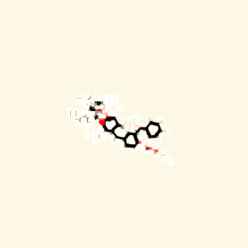 COCOc1ccc(Cc2c(C)cc(O[Si](C(C)C)(C(C)C)C(C)C)cc2C)cc1C(O)c1ccccc1